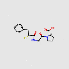 C[C@H](NC(=O)C(S)Cc1ccccc1)C(=O)N1CCC[C@H]1C(=O)O